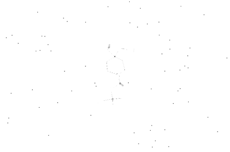 COC1(C=O)CCN(C(=O)OC(C)(C)C)CC1